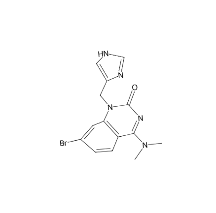 CN(C)c1nc(=O)n(Cc2c[nH]cn2)c2cc(Br)ccc12